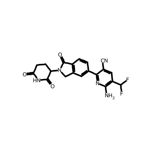 N#Cc1cc(C(F)F)c(N)nc1-c1ccc2c(c1)CN(C1CCC(=O)NC1=O)C2=O